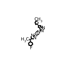 Cc1ccc(-c2cc3c(N4CCN(c5ncc([C@H](C)c6ccc(F)cc6)cn5)CC4)ncnn3c2)s1